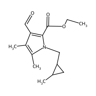 CCOC(=O)c1c(C=O)c(C)c(C)n1CC1CC1C